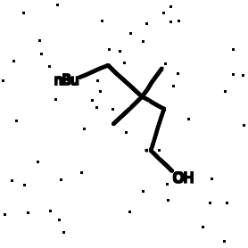 CCCCCC(C)(C)C[CH]O